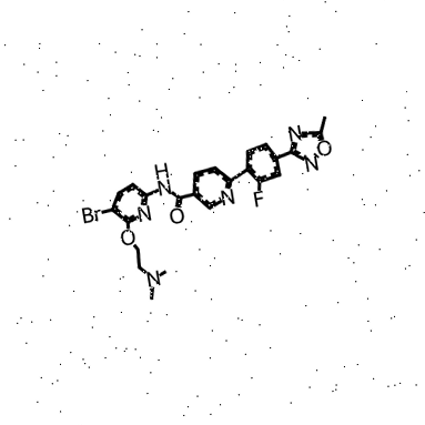 Cc1nc(-c2ccc(-c3ccc(C(=O)Nc4ccc(Br)c(OCCN(C)C)n4)cn3)c(F)c2)no1